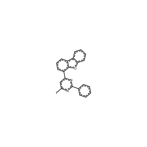 Ic1cc(-c2cccc3c2oc2ccccc23)nc(-c2ccccc2)n1